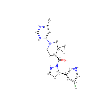 N#Cc1cc(N2CC[C@H](C(=O)N3N=CC[C@@H]3c3cncc(F)c3)C3(CC3)C2)ncn1